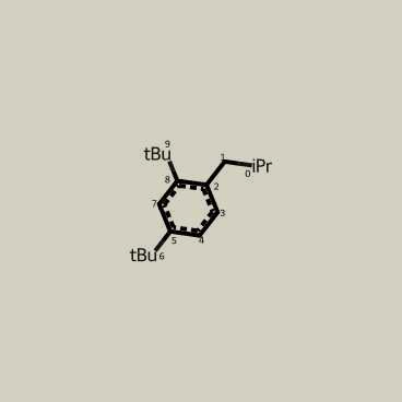 CC(C)Cc1ccc(C(C)(C)C)[c]c1C(C)(C)C